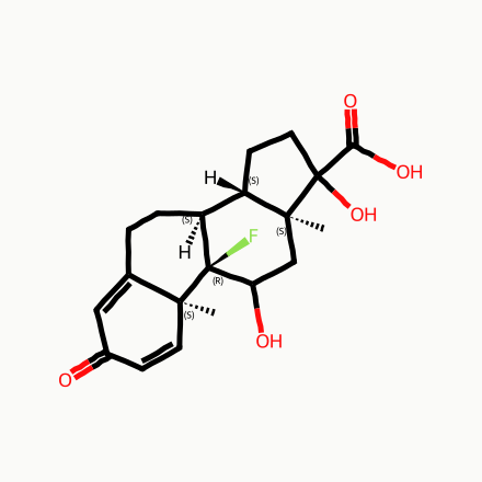 C[C@]12CC(O)[C@@]3(F)[C@@H](CCC4=CC(=O)C=C[C@@]43C)[C@@H]1CCC2(O)C(=O)O